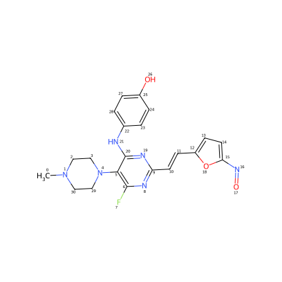 CN1CCN(c2c(F)nc(/C=C/c3ccc(N=O)o3)nc2Nc2ccc(O)cc2)CC1